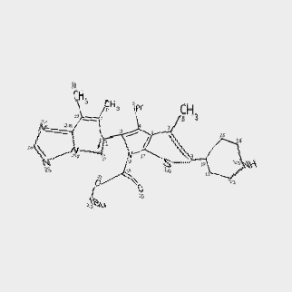 Cc1c(-c2c(C(C)C)c3c(C)c(C4CCNCC4)sc3n2C(=O)OC(C)(C)C)cn2ncnc2c1C